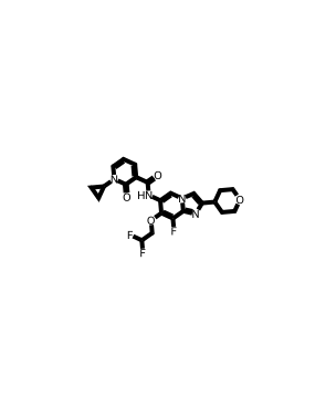 O=C(Nc1cn2cc(C3CCOCC3)nc2c(F)c1OCC(F)F)c1cccn(C2CC2)c1=O